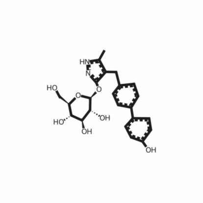 Cc1[nH]nc(O[C@@H]2O[C@H](CO)[C@@H](O)[C@H](O)[C@H]2O)c1Cc1ccc(-c2ccc(O)cc2)cc1